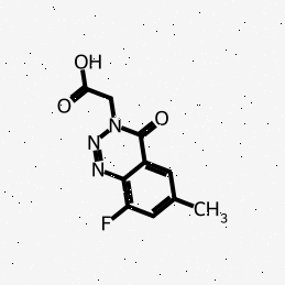 Cc1cc(F)c2nnn(CC(=O)O)c(=O)c2c1